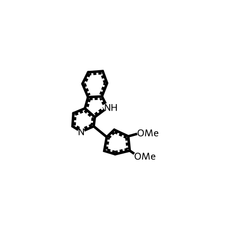 COc1ccc(-c2nccc3c2[nH]c2ccccc23)cc1OC